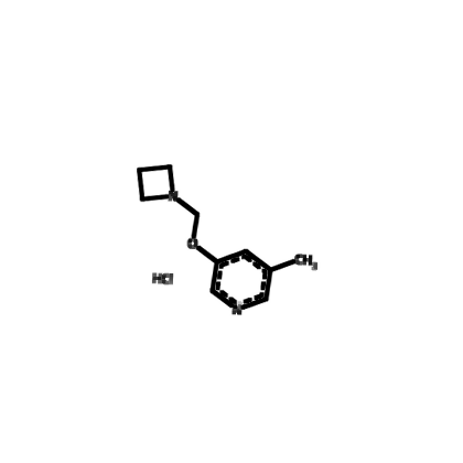 Cc1cncc(OCN2CCC2)c1.Cl